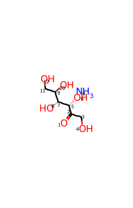 N.O=C(CO)[C@@H](O)[C@H](O)[C@H](O)CO